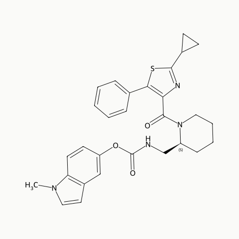 Cn1ccc2cc(OC(=O)NC[C@@H]3CCCCN3C(=O)c3nc(C4CC4)sc3-c3ccccc3)ccc21